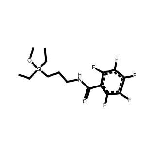 CC[Si](CC)(CCCNC(=O)c1c(F)c(F)c(F)c(F)c1F)OC